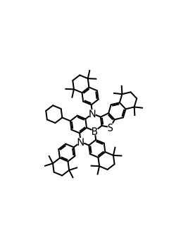 CC1(C)CCC(C)(C)c2cc(N3c4cc5c(cc4B4c6sc7cc8c(cc7c6N(c6ccc7c(c6)C(C)(C)CCC7(C)C)c6cc(C7CCCCC7)cc3c64)C(C)(C)CCC8(C)C)C(C)(C)CCC5(C)C)ccc21